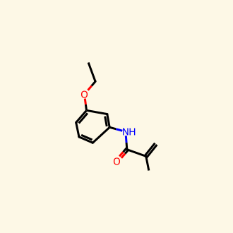 C=C(C)C(=O)Nc1cccc(OCC)c1